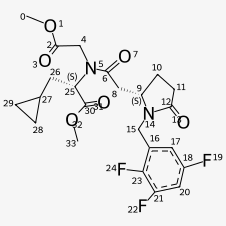 COC(=O)CN(C(=O)C[C@@H]1CCC(=O)N1Cc1cc(F)cc(F)c1F)[C@@H](CC1CC1)C(=O)OC